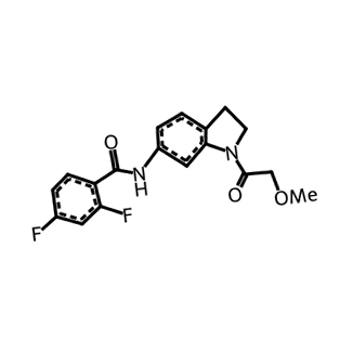 COCC(=O)N1CCc2ccc(NC(=O)c3ccc(F)cc3F)cc21